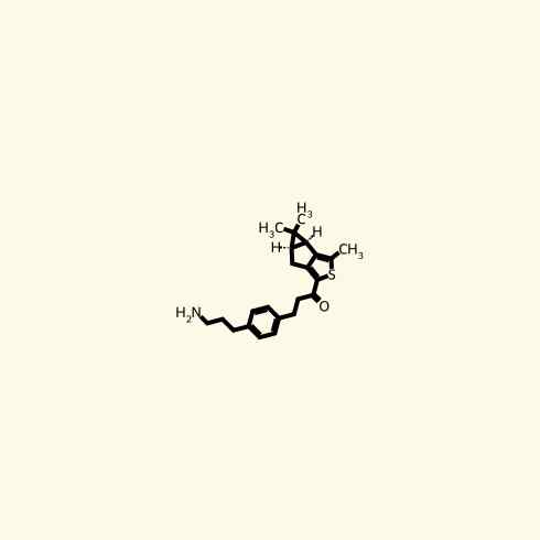 Cc1sc(C(=O)CCc2ccc(CCCN)cc2)c2c1[C@H]1[C@@H](C2)C1(C)C